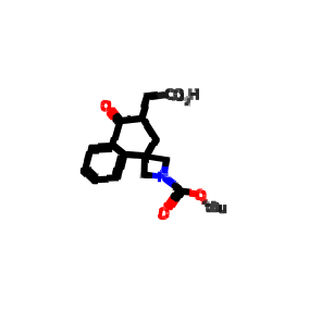 CC(C)(C)OC(=O)N1CC2(CC(CC(=O)O)C(=O)c3ccccc32)C1